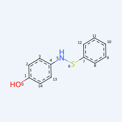 Oc1ccc(NSc2ccccc2)cc1